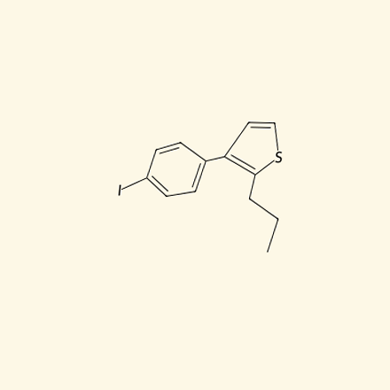 CCCc1sccc1-c1ccc(I)cc1